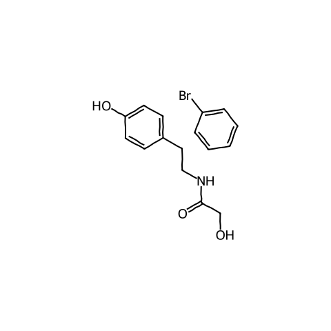 Brc1ccccc1.O=C(CO)NCCc1ccc(O)cc1